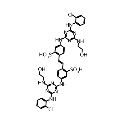 O=S(=O)(O)c1cc(Nc2nc(NCCO)nc(Nc3ccccc3Cl)n2)ccc1C=Cc1ccc(Nc2nc(NCCO)nc(Nc3ccccc3Cl)n2)cc1S(=O)(=O)O